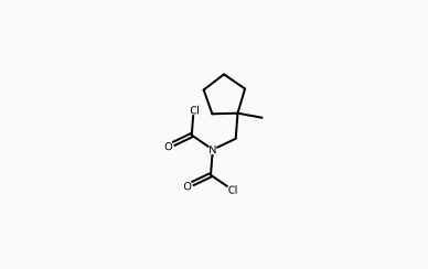 CC1(CN(C(=O)Cl)C(=O)Cl)CCCC1